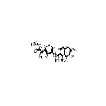 CC(C)(C)OC(=O)Nc1cccc(Nc2ccc3c(c2[N+](=O)[O-])CCCC3)c1